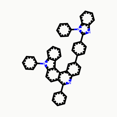 c1ccc(-c2nc3ccc(-c4ccc(-c5nc6ccccc6n5-c5ccccc5)cc4)cc3c3c2ccc2c3c3ccccc3n2-c2ccccc2)cc1